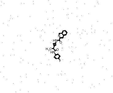 CC(C(=O)Nc1ccc(F)cc1)C12CC(NC(=O)c3cc4ccccc4cn3)(C1)C2